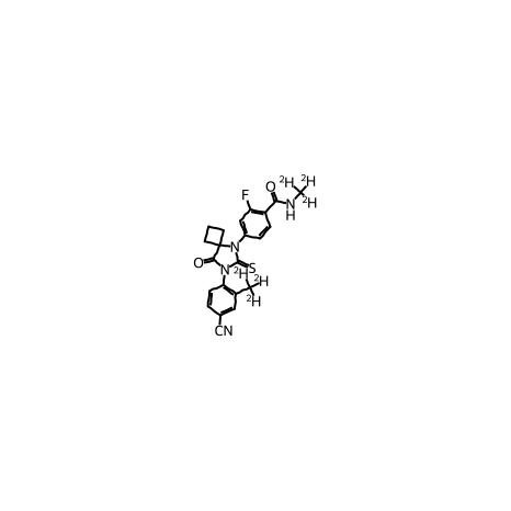 [2H]C([2H])([2H])NC(=O)c1ccc(N2C(=S)N(c3ccc(C#N)cc3C([2H])([2H])[2H])C(=O)C23CCC3)cc1F